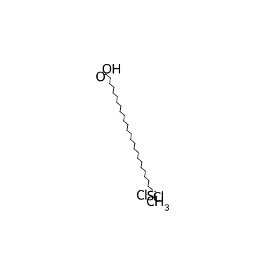 C[Si](Cl)(Cl)CCCCCCCCCCCCCCCCCCCCCCCCCC(=O)O